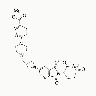 CC(C)(C)OC(=O)c1ccc(N2CCN(CC3CN(c4ccc5c(c4)C(=O)N(C4CCC(=O)NC4=O)C5=O)C3)CC2)nn1